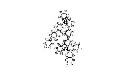 C1=Cc2cc3c(cc2CC1)-c1ccccc1-c1cc(-c2ccc(C4=CC5(CC=C4)c4ccccc4N5c4ccc(-c5ccc(-c6ccccc6)cc5)cc4)cc2)cc2c4ccccc4n-3c12